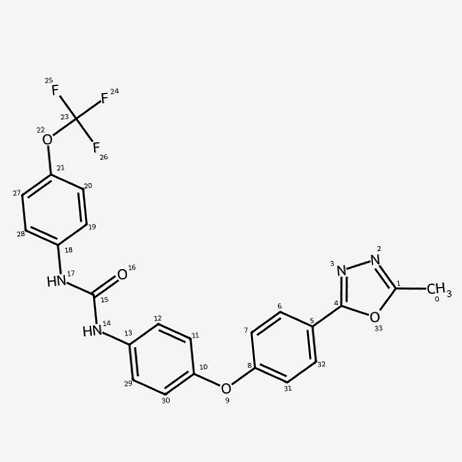 Cc1nnc(-c2ccc(Oc3ccc(NC(=O)Nc4ccc(OC(F)(F)F)cc4)cc3)cc2)o1